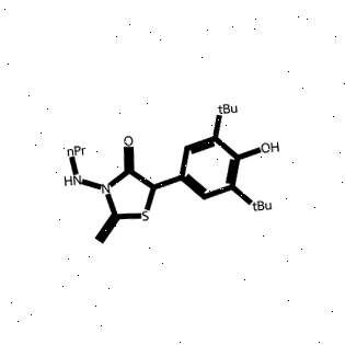 C=C1SC(c2cc(C(C)(C)C)c(O)c(C(C)(C)C)c2)C(=O)N1NCCC